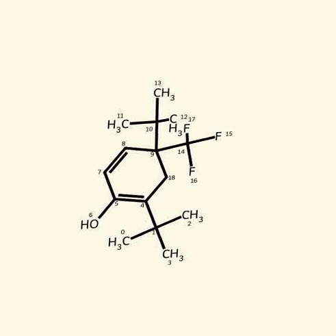 CC(C)(C)C1=C(O)C=CC(C(C)(C)C)(C(F)(F)F)C1